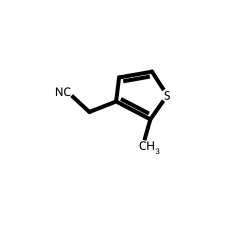 Cc1sccc1CC#N